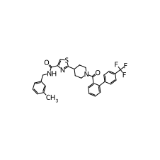 Cc1cccc(CNC(=O)c2csc(C3CCN(C(=O)c4ccccc4-c4ccc(C(F)(F)F)cc4)CC3)n2)c1